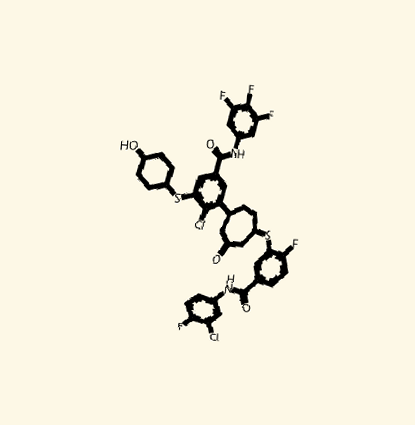 O=C1CC(Sc2cc(C(=O)Nc3ccc(F)c(Cl)c3)ccc2F)CCC(c2cc(C(=O)Nc3cc(F)c(F)c(F)c3)cc(SC3CCC(O)CC3)c2Cl)C1